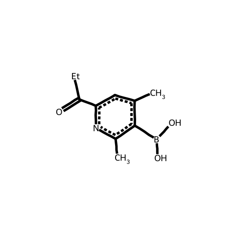 CCC(=O)c1cc(C)c(B(O)O)c(C)n1